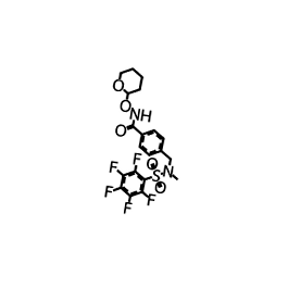 CN(Cc1ccc(C(=O)NOC2CCCCO2)cc1)S(=O)(=O)c1c(F)c(F)c(F)c(F)c1F